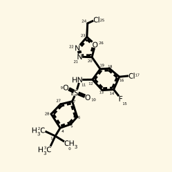 CC(C)(C)c1ccc(S(=O)(=O)Nc2cc(F)c(Cl)cc2-c2nnc(CCl)o2)cc1